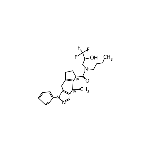 CCCCN(CC(O)C(F)(F)F)C(=O)[C@@H]1CCC2=C1[C@@H](C)c1cnn(-c3ccccc3)c1C2